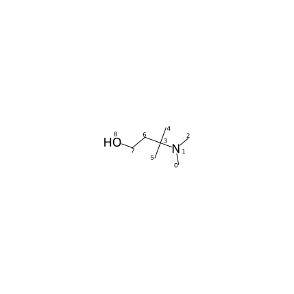 CN(C)C(C)(C)CCO